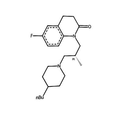 CCCCC1CCN(C[C@@H](C)CN2C(=O)CCc3cc(F)ccc32)CC1